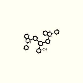 N#Cc1ccccc1-c1cc(-c2cccc(-c3nc(-c4ccccc4)nc4ccccc34)c2)cc(-c2cccc(-c3nc(-c4ccccc4)nc4ccccc34)c2)c1